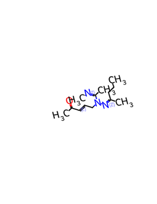 CCC/C(C)=N\N(C/C=C/C(C)=O)/C(C)=N\C